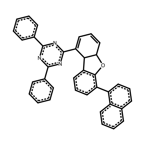 C1=CC2Oc3c(-c4cccc5ccccc45)cccc3C2C(c2nc(-c3ccccc3)nc(-c3ccccc3)n2)=C1